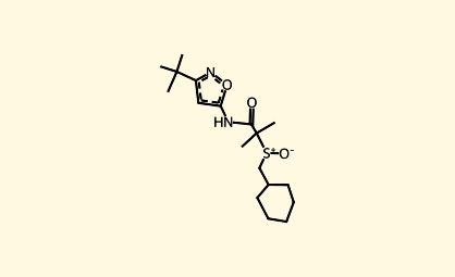 CC(C)(C)c1cc(NC(=O)C(C)(C)[S+]([O-])CC2CCCCC2)on1